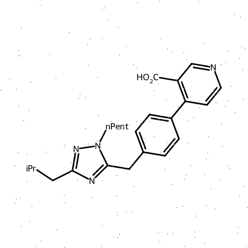 CCCCCn1nc(CC(C)C)nc1Cc1ccc(-c2ccncc2C(=O)O)cc1